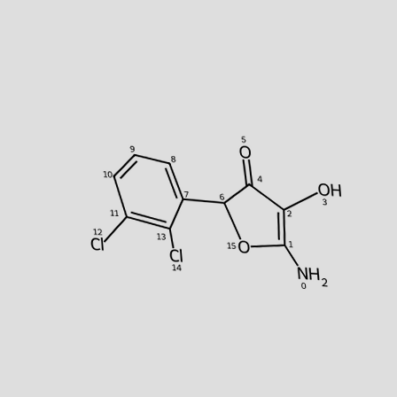 NC1=C(O)C(=O)C(c2cccc(Cl)c2Cl)O1